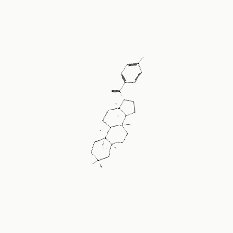 C[C@@]1(O)CC[C@@]2(C)[C@H](CC[C@@H]3[C@@H]2CC[C@]2(C)[C@@H](C(=O)c4ccc(Cl)cc4)CC[C@@H]32)C1